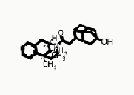 CC1(C)[C@H]2Cc3ccccc3[C@]1(C)CCN2C(=O)CC1C2CC3CC1CC(O)(C3)C2